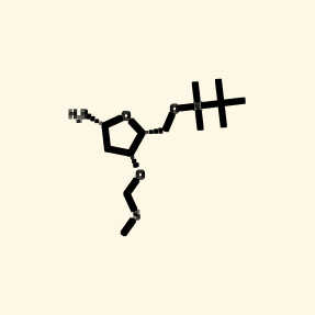 B[C@H]1C[C@@H](OCSC)[C@@H](CO[Si](C)(C)C(C)(C)C)O1